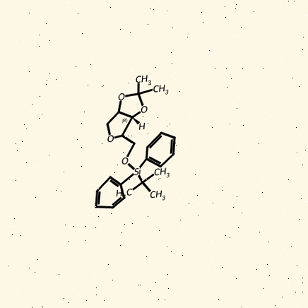 CC1(C)OC2COC(CO[Si](c3ccccc3)(c3ccccc3)C(C)(C)C)[C@H]2O1